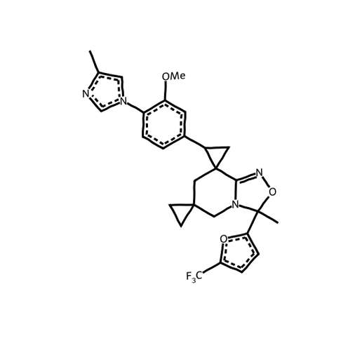 COc1cc(C2CC23CC2(CC2)CN2C3=NOC2(C)c2ccc(C(F)(F)F)o2)ccc1-n1cnc(C)c1